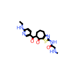 CCNc1ccc(C(=O)C2CCCc3nc(NC(=O)CNC)sc3C2=O)cn1